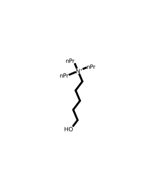 CCC[N+](CCC)(CCC)CCCCCO